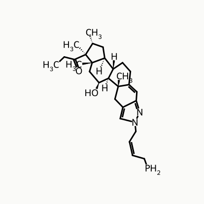 CCC(=O)[C@@]1(C)[C@H](C)C[C@H]2[C@@H]3CCC4=Cc5nn(C/C=C\CP)cc5C[C@]4(C)[C@H]3[C@@H](O)C[C@@]21C